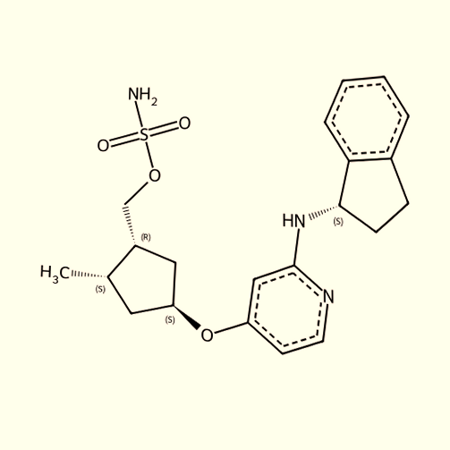 C[C@H]1C[C@H](Oc2ccnc(N[C@H]3CCc4ccccc43)c2)C[C@H]1COS(N)(=O)=O